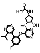 CC(C)c1ncncc1-c1cc(F)ccc1Oc1cncnc1N(C)[C@H]1C[C@@H](NC(=O)O)C[C@H]1O